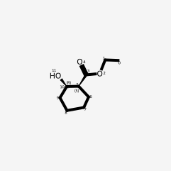 CCOC(=O)[C@H]1CCCC[C@H]1O